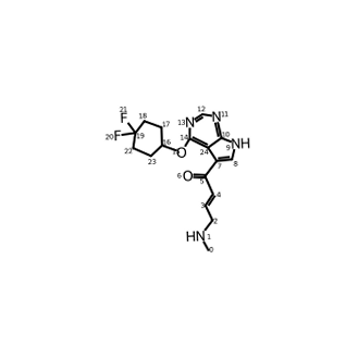 CNC/C=C/C(=O)c1c[nH]c2ncnc(OC3CCC(F)(F)CC3)c12